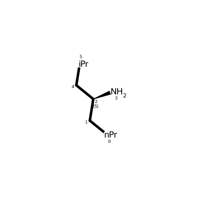 CCCC[C@H](N)CC(C)C